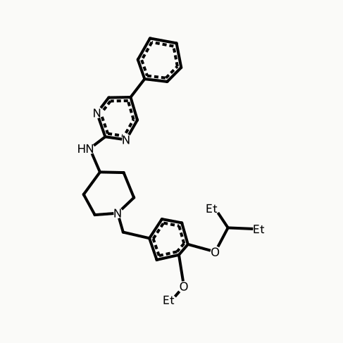 CCOc1cc(CN2CCC(Nc3ncc(-c4ccccc4)cn3)CC2)ccc1OC(CC)CC